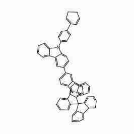 C1=CC(c2ccc(-n3c4ccccc4c4cc(-c5ccc6c(c5)c5ccccc5n6-c5ccccc5C5(c6ccccc6)c6ccccc6-c6ccccc65)ccc43)cc2)=CCC1